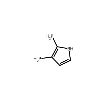 PC1=C(P)C=CB1